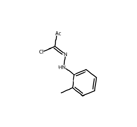 CC(=O)C(Cl)=NNc1ccccc1C